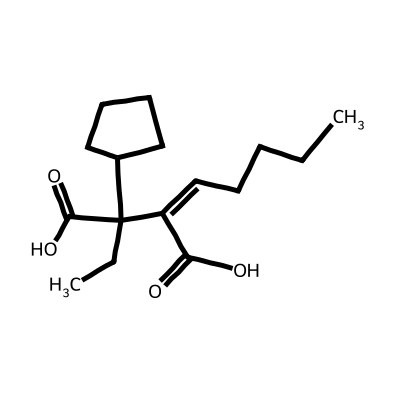 CCCCC=C(C(=O)O)C(CC)(C(=O)O)C1CCCC1